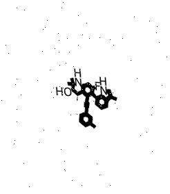 Cc1cccc(C#Cc2c(-c3cccc4c(C)c[nH]c34)c(F)cc3c2[C@H](C)C(O)C(C)(C)N3)c1